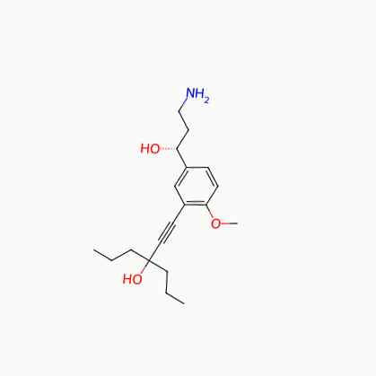 CCCC(O)(C#Cc1cc([C@H](O)CCN)ccc1OC)CCC